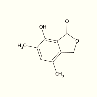 Cc1cc(C)c2c(c1O)C(=O)OC2